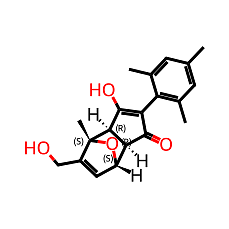 Cc1cc(C)c(C2=C(O)[C@H]3[C@@H](C2=O)[C@@H]2C=C(CO)[C@@]3(C)O2)c(C)c1